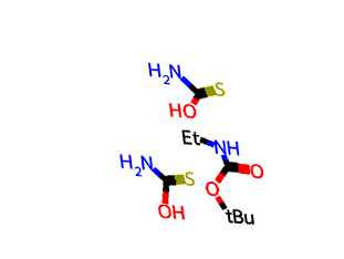 CCNC(=O)OC(C)(C)C.NC(O)=S.NC(O)=S